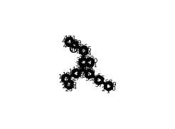 c1ccc(-c2ccc(-c3ccc(N(c4ccc(-c5cccc6ccccc56)cc4)c4ccc(-c5cccc(-c6cc7ccccc7o6)c5)c5ccccc45)cc3)cc2)cc1